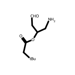 CC(C)(C)CC(=O)OC(CN)CC=O